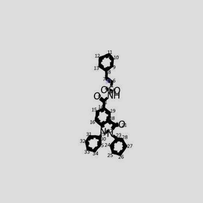 O=C(NS(=O)(=O)/C=C/c1ccccc1)c1ccc2c(c1)c(=O)n(-c1ccccc1)n2-c1ccccc1